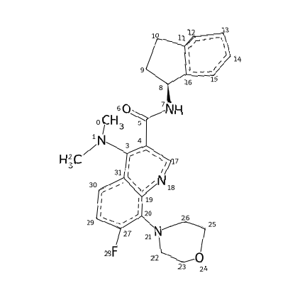 CN(C)c1c(C(=O)N[C@H]2CCc3ccccc32)cnc2c(N3CCOCC3)c(F)ccc12